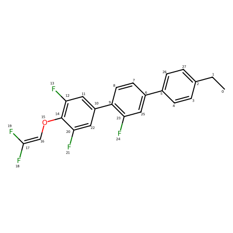 CCc1ccc(-c2ccc(-c3cc(F)c(OC=C(F)F)c(F)c3)c(F)c2)cc1